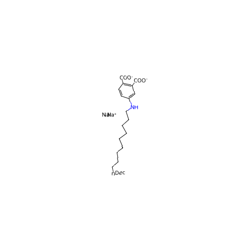 CCCCCCCCCCCCCCCCCCCNc1ccc(C(=O)[O-])c(C(=O)[O-])c1.[Na+].[Na+]